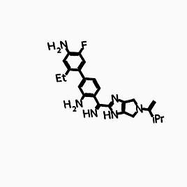 C=C(C(C)C)N1Cc2nc(C(=N)c3ccc(-c4cc(F)c(N)cc4CC)cc3N)[nH]c2C1